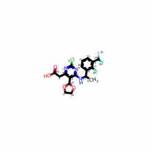 CC(Nc1nc(Cl)nc(CC(=O)O)c1C1OCCO1)c1cccc(C(F)F)c1F